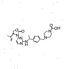 CC(Nc1nccc(N2C(=O)OC[C@@H]2C(C)F)n1)c1ccc(CN2CCN(C(=O)O)CC2)cc1